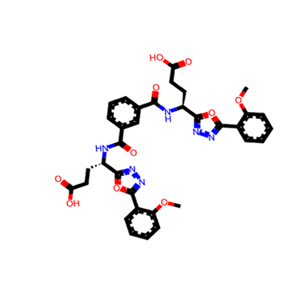 COc1ccccc1-c1nnc([C@H](CCC(=O)O)NC(=O)c2cccc(C(=O)N[C@@H](CCC(=O)O)c3nnc(-c4ccccc4OC)o3)c2)o1